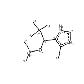 Cc1nc[nH]c1C(O[SiH](C)C)C(C)(C)C